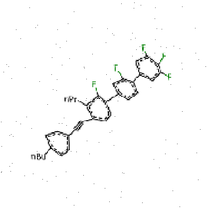 CCCCc1ccc(C#Cc2ccc(-c3ccc(-c4cc(F)c(F)c(F)c4)c(F)c3)c(F)c2CCC)cc1